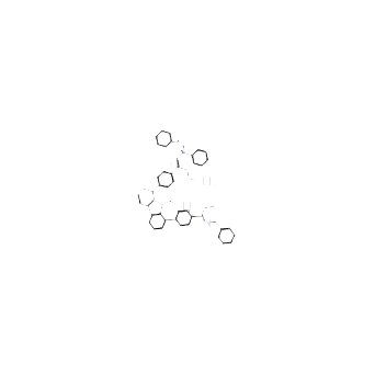 CCC/C(=C\C(=N/c1ccccc1)c1ccccc1)c1ccc(C2CC=CC3=C2C(CC)c2c3cccc2-c2ccc(/C(CCC)=N/Cc3ccccc3)cc2)cc1